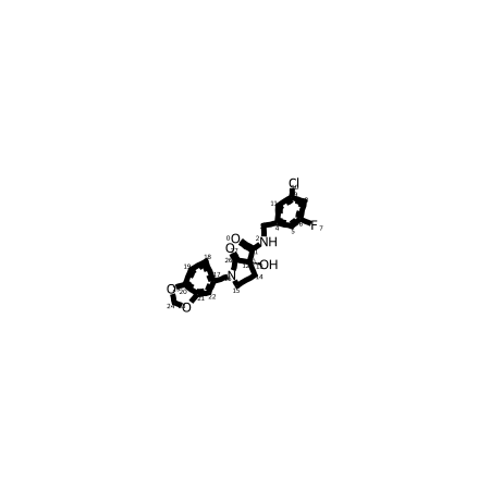 O=C(NCc1cc(F)cc(Cl)c1)[C@@]1(O)CCN(c2ccc3c(c2)OCO3)C1=O